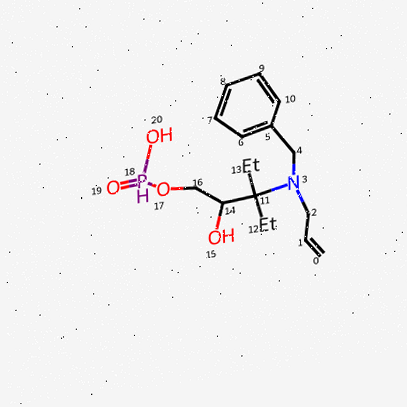 C=CCN(Cc1ccccc1)C(CC)(CC)C(O)CO[PH](=O)O